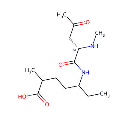 CCC(CCC(C)C(=O)O)NC(=O)[C@H](CC(C)=O)NC